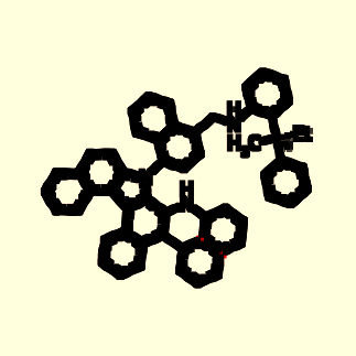 CC[C@@](C)(c1ccccc1)c1ccccc1NCc1ccc(-n2c3ccc4ccccc4c3c3c4ccccc4c(-c4ccccc4)c(Nc4ccccc4)c32)c2ccccc12